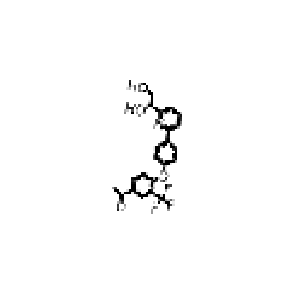 CC(=O)c1ccc(Oc2ccc(-c3cccc(C(O)CO)n3)cc2)c(C(F)(F)F)c1